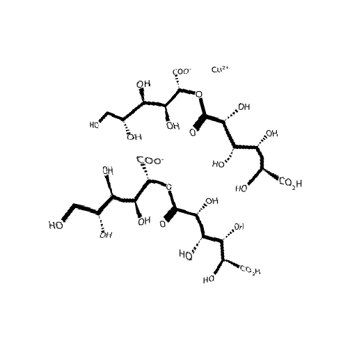 O=C(O)[C@@H](O)[C@@H](O)[C@H](O)[C@@H](O)C(=O)O[C@@H](C(=O)[O-])[C@@H](O)[C@H](O)[C@H](O)CO.O=C(O)[C@@H](O)[C@@H](O)[C@H](O)[C@@H](O)C(=O)O[C@@H](C(=O)[O-])[C@@H](O)[C@H](O)[C@H](O)CO.[Cu+2]